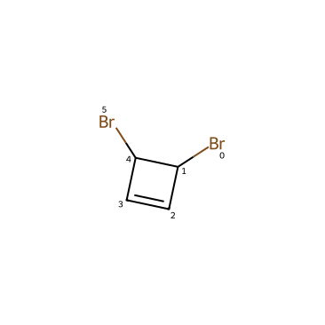 BrC1C=CC1Br